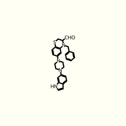 O=CC1CSc2ccc(N3CCN(c4ccc5cc[nH]c5c4)CC3)cc2N1Cc1ccccc1